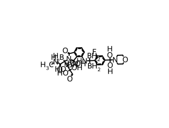 BC(B)(Nc1cccc2c1C(O)(O)N(C(B)(C(=O)NC)C(O)(O)C(O)(O)C=O)C2=O)c1ccc(C(O)(O)N2CCOCC2)cc1F